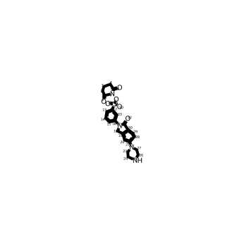 O=C1CCCC(=O)N1OS(=O)(=O)c1cccc(N2Cc3cc(N4CCNCC4)ccc3C2=O)c1